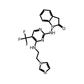 O=C1Cc2ccccc2N1Nc1ncc(C(F)(F)F)c(NCCn2ccnc2)n1